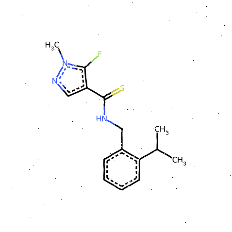 CC(C)c1ccccc1CNC(=S)c1cnn(C)c1F